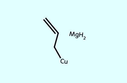 C=C[CH2][Cu].[MgH2]